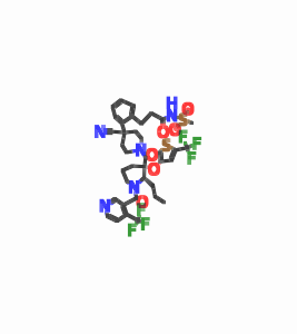 CCC[C@H]1N(C(=O)c2cnccc2C(F)(F)F)CCC[C@@]1(Oc1csc(C(F)(F)F)c1)C(=O)N1CCC(C#N)(c2ccccc2CCC(=O)NS(C)(=O)=O)CC1